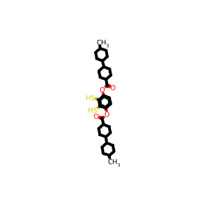 CC1CCC(C2CCC(C(=O)Oc3ccc(OC(=O)C4CCC(C5CCC(C)CC5)CC4)c(S)c3S)CC2)CC1